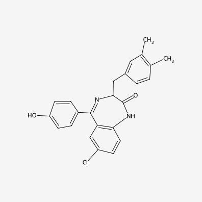 Cc1ccc(CC2N=C(c3ccc(O)cc3)c3cc(Cl)ccc3NC2=O)cc1C